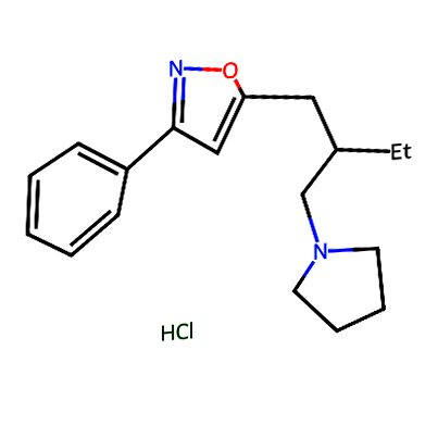 CCC(Cc1cc(-c2ccccc2)no1)CN1CCCC1.Cl